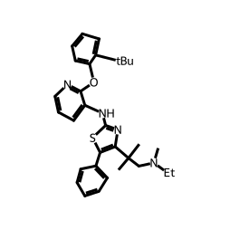 CCN(C)CC(C)(C)c1nc(Nc2cccnc2Oc2ccccc2C(C)(C)C)sc1-c1ccccc1